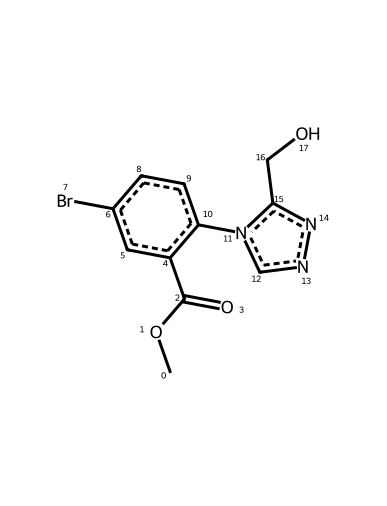 COC(=O)c1cc(Br)ccc1-n1cnnc1CO